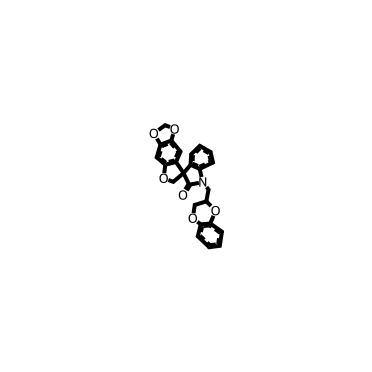 O=C1N(CC2COc3ccccc3O2)c2ccccc2C12COc1cc3c(cc12)OCO3